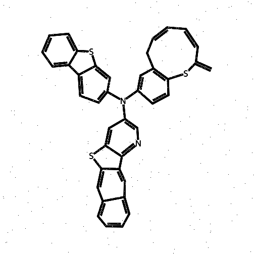 C=C1/C=C\C=C/Cc2cc(N(c3ccc4c(c3)sc3ccccc34)c3cnc4c(c3)sc3cc5ccccc5cc34)ccc2S1